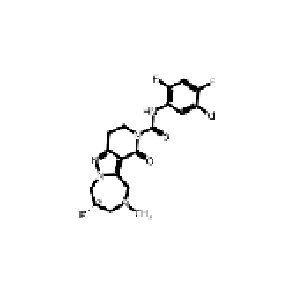 CN1Cc2c3c(nn2C[C@@H](F)C1)CCN(C(=O)Nc1cc(Cl)c(F)cc1F)C3=O